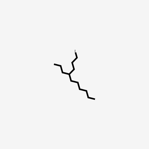 CCCCCCC(CCC)CCCI